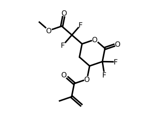 C=C(C)C(=O)OC1CC(C(F)(F)C(=O)OC)OC(=O)C1(F)F